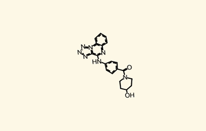 O=C(c1ccc(Nc2nc3ccccc3n3nnnc23)cc1)N1CCC(O)CC1